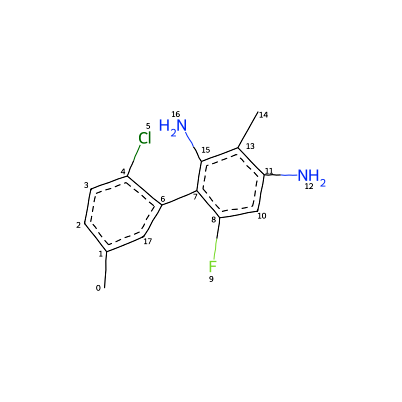 Cc1ccc(Cl)c(-c2c(F)cc(N)c(C)c2N)c1